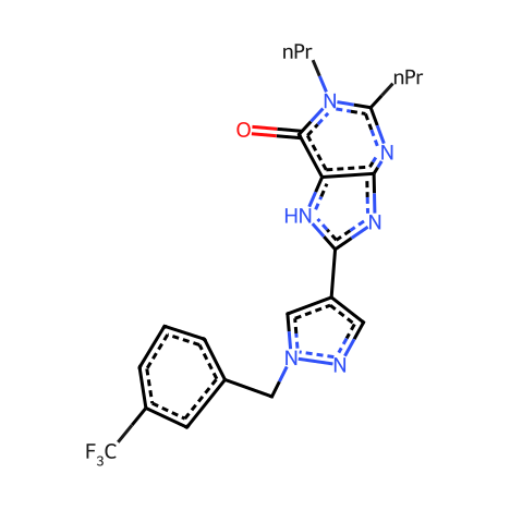 CCCc1nc2nc(-c3cnn(Cc4cccc(C(F)(F)F)c4)c3)[nH]c2c(=O)n1CCC